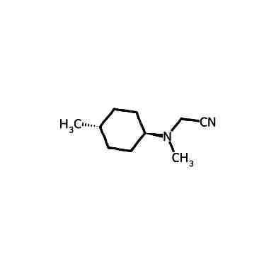 CN(CC#N)[C@H]1CC[C@H](C)CC1